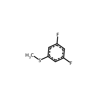 CSc1cc(F)cc(F)c1